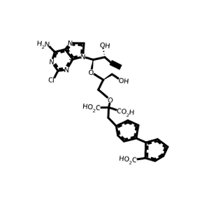 C#C[C@@H](O)[C@@H](O[C@@H](CO)COC(Cc1ccc(-c2ccccc2C(=O)O)cc1)(C(=O)O)C(=O)O)n1cnc2c(N)nc(Cl)nc21